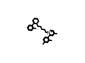 Cc1ccc(-c2cc(C)cc[n+]2CCCCCC2CC=CC=C2c2ccccc2C)c(C)c1